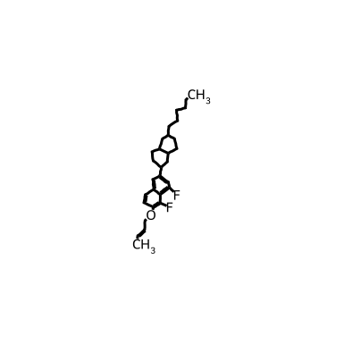 C/C=C/COc1ccc2cc(C3CCC4CC(CCCCCC)CCC4C3)cc(F)c2c1F